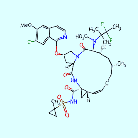 CC[C@@H]1C[C@H](C)CCC=C[C@@H]2C[C@@]2(C(=O)NS(=O)(=O)C2(C)CC2)NC(=O)[C@@H]2C[C@@H](Oc3nccc4cc(OC)c(Cl)cc34)CN2C(=O)[C@H]1N(C(=O)O)C(C)(C)C(C)(F)F